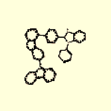 C1=CCCC(N2c3ccccc3NC2c2ccc(-c3cccc4oc5cc(-n6c7ccccc7c7ccccc76)ccc5c34)cc2)=C1